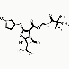 CCCCC(C)(C)C(=O)OCOC(=O)C1=C(S[C@H]2CC[S@@+]([O-])C2)S[C@@H]2[C@@H]([C@@H](C)O)C(=O)N12